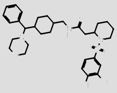 O=C(CC1CCCCN1S(=O)(=O)c1ccc(Cl)c(Cl)c1)NCC1CCC(C(c2ccccc2)N2CCOCC2)CC1